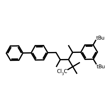 C[C](c1cc(C(C)(C)C)cc(C(C)(C)C)c1)C(C(C)Cc1ccc(-c2ccccc2)cc1)C(C)(C)C(Cl)(Cl)Cl